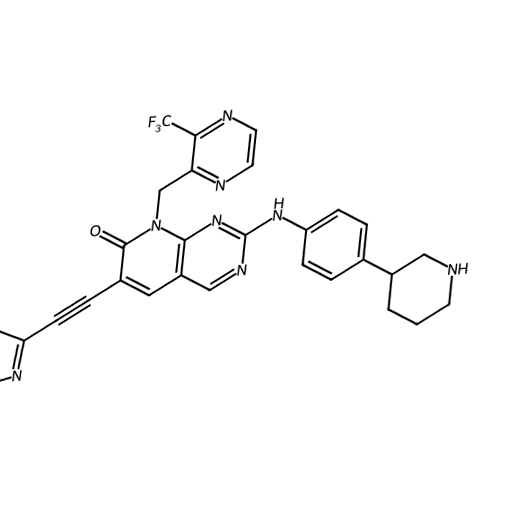 Cn1ccnc1C#Cc1cc2cnc(Nc3ccc(C4CCCNC4)cc3)nc2n(Cc2nccnc2C(F)(F)F)c1=O